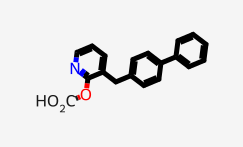 O=C(O)Oc1ncccc1Cc1ccc(-c2ccccc2)cc1